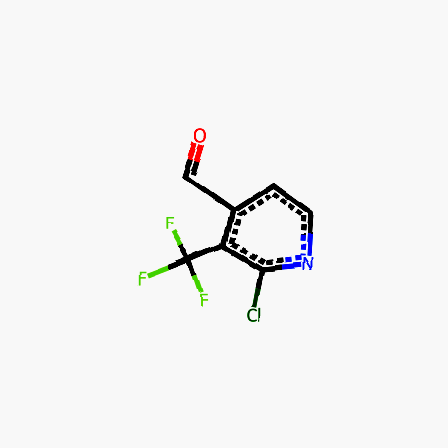 O=Cc1ccnc(Cl)c1C(F)(F)F